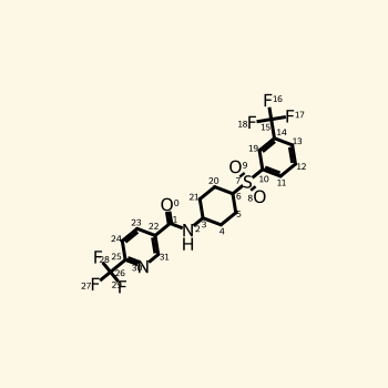 O=C(NC1CCC(S(=O)(=O)c2cccc(C(F)(F)F)c2)CC1)c1ccc(C(F)(F)F)nc1